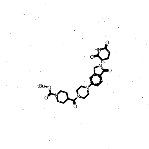 CC(C)(C)OC(=O)N1CCC(C(=O)N2CCN(c3ccc4c(c3)CN([C@H]3CCC(=O)NC3=O)C4=O)CC2)CC1